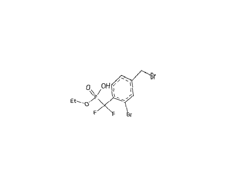 CCOP(=O)(O)C(F)(F)c1ccc(CBr)cc1Br